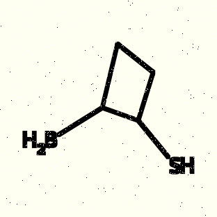 BC1CCC1S